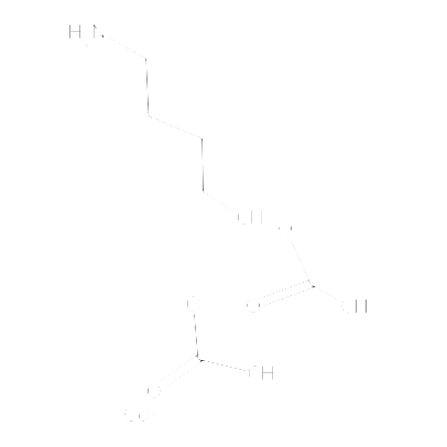 CC(=O)[O-].CC(=O)[O-].CCCCCN.[Co+2]